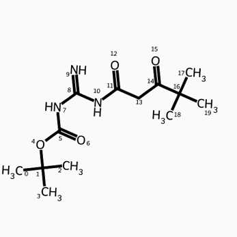 CC(C)(C)OC(=O)NC(=N)NC(=O)CC(=O)C(C)(C)C